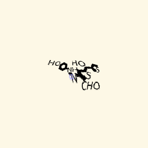 O=Cc1sc(C(O)c2ccsc2)cc1/N=C\Nc1ccc(O)cc1